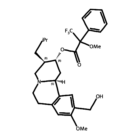 COc1cc2c(cc1CO)[C@@H]1C[C@@H](OC(=O)C(OC)(c3ccccc3)C(F)(F)F)[C@H](CC(C)C)CN1CC2